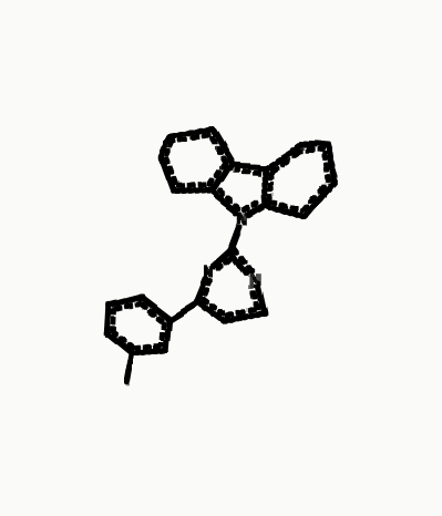 Cc1cccc(-c2ccnc(-n3c4ccccc4c4ccccc43)n2)c1